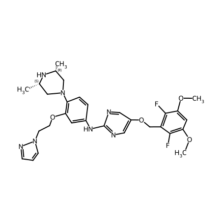 COc1cc(OC)c(F)c(COc2cnc(Nc3ccc(N4C[C@@H](C)N[C@@H](C)C4)c(OCCn4cccn4)c3)nc2)c1F